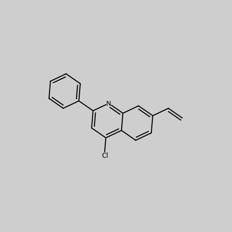 C=Cc1ccc2c(Cl)cc(-c3ccccc3)nc2c1